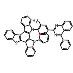 Cc1cc(-c2nc(-c3ccccc3)c3ccccc3n2)ccc1-n1c2ccccc2c2c3c4ccccc4sc3c3c4ccccc4n(-c4ccccc4)c3c21